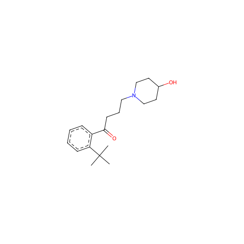 CC(C)(C)c1ccccc1C(=O)CCCN1CCC(O)CC1